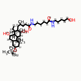 C[C@H](CCC(=O)NCCCCCC(=O)NCCCCCO)[C@H]1CC[C@H]2[C@@H]3[C@H](O)CC4C[C@H](O[Si](C)(C)C(C)(C)C)CC[C@]4(C)[C@H]3C[C@H](O)[C@]12C